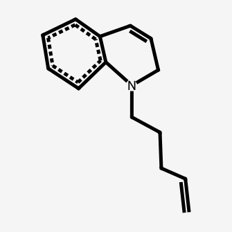 C=CCCCN1CC=Cc2ccccc21